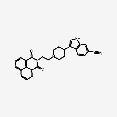 N#Cc1ccc2c(C3CCN(CCN4C(=O)c5cccc6cccc(c56)C4=O)CC3)c[nH]c2c1